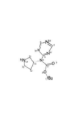 CC(C)(C)OC(=O)N(c1ncncn1)[C@@H]1CCNC1